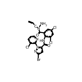 C=CCN(N)C(=O)c1cc(Cl)cc(Cl)c1NC(=O)c1cc(Br)nn1-c1ncccc1Cl